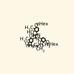 C=C(C)C(=O)Oc1c(-c2nc(-c3ccc(OCCCCCC)c(C)c3O)nc(-c3ccc(OCCCCCC)c(C)c3O)n2)ccc(OCCCCCC)c1C